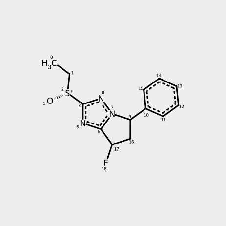 CC[S@@+]([O-])c1nc2n(n1)C(c1ccccc1)CC2F